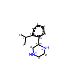 CC(C)c1ccccc1[C@@H]1CNCCN1